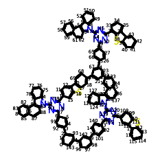 c1cc(-c2ccc(-c3nc(-c4ccc5c(c4)sc4cc(-c6cccc(-c7ccc(-c8nc(-c9cccc%10c9sc9ccccc9%10)nc(-n9c%10ccccc%10c%10c%11ccccc%11ccc%109)n8)cc7)c6)ccc45)nc(-n4c5ccccc5c5c6ccccc6ccc54)n3)cc2)cc(-c2cccc(-c3ccc(-c4nc(-c5ccc6sc7ccccc7c6c5)nc(-n5c6ccccc6c6c7ccccc7ccc65)n4)cc3)c2)c1